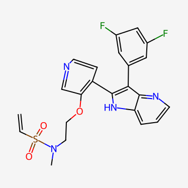 C=CS(=O)(=O)N(C)CCOc1cnccc1-c1[nH]c2cccnc2c1-c1cc(F)cc(F)c1